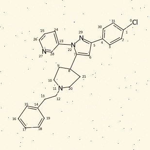 Clc1ccc(-c2cc(C3CCN(CCc4ccccc4)CC3)n(-c3cccnc3)n2)cc1